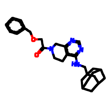 O=C(COCc1ccccc1)N1CCc2c(ncnc2NCC23CC4CC(CC(C4)C2)C3)C1